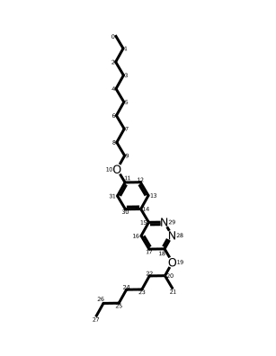 CCCCCCCCCCOc1ccc(-c2ccc(OC(C)CCCCCC)nn2)cc1